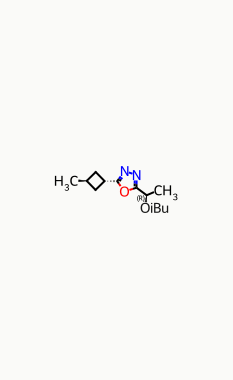 CC(C)CO[C@H](C)c1nnc([C@H]2C[C@H](C)C2)o1